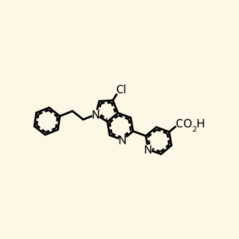 O=C(O)c1ccnc(-c2cc3c(Cl)cn(CCc4ccccc4)c3cn2)c1